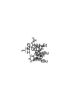 C=CCNC(=O)C(=O)C(CC1CC1)NC(=O)[C@@H]1C[C@@H](CC)CN1C(=O)[C@@H](NC(=O)[C@@H](NC(=O)C(C)(C)C)C1CCCCC1)C(C)(C)C